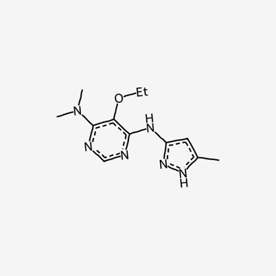 CCOc1c(Nc2cc(C)[nH]n2)ncnc1N(C)C